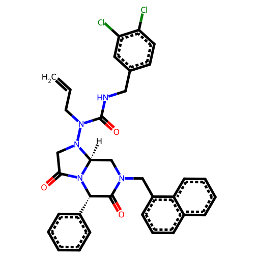 C=CCN(C(=O)NCc1ccc(Cl)c(Cl)c1)N1CC(=O)N2[C@@H](c3ccccc3)C(=O)N(Cc3cccc4ccccc34)C[C@@H]21